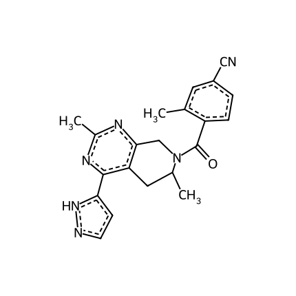 Cc1nc2c(c(-c3ccn[nH]3)n1)CC(C)N(C(=O)c1ccc(C#N)cc1C)C2